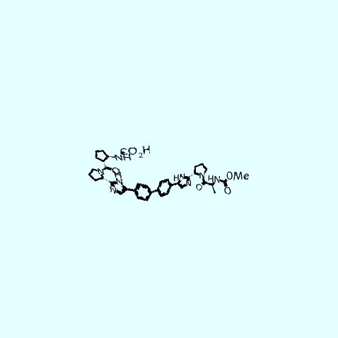 COC(=O)N[C@@H](C)C(=O)N1CCC[C@H]1c1ncc(-c2ccc(-c3ccc(-c4cnc([C@@H]5CCCN5C(=O)[C@@H]5CCC[C@H]5NC(=O)O)[nH]4)cc3)cc2)[nH]1